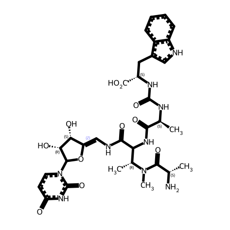 C[C@H](N)C(=O)N(C)[C@H](C)C(NC(=O)[C@H](C)NC(=O)N[C@@H](Cc1c[nH]c2ccccc12)C(=O)O)C(=O)N/C=C1\OC(n2ccc(=O)[nH]c2=O)[C@H](O)[C@@H]1O